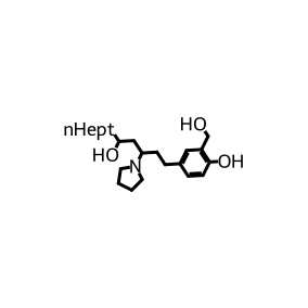 CCCCCCCC(O)CC(CCc1ccc(O)c(CO)c1)N1CCCC1